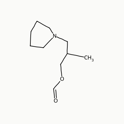 CC(COC=O)CN1CCCCC1